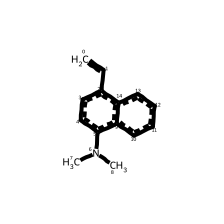 C=Cc1ccc(N(C)C)c2ccccc12